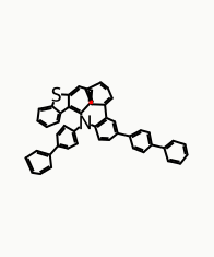 c1ccc(-c2ccc(-c3ccc(N(c4ccc(-c5ccccc5)cc4)c4cccc5sc6ccccc6c45)c(-c4ccccc4)c3)cc2)cc1